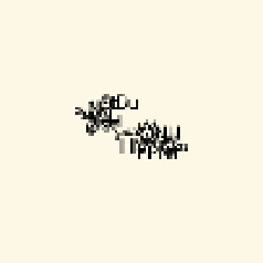 C=C[C@@H](C(=O)NCCCC#Cc1cnc(Nc2ccnc(C)c2)nc1NCCC)N(C)C(=O)OC(C)(C)C